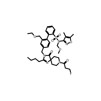 CCCCC1=NC2(CCN(C(=O)CCF)CC2)C(=O)N1Cc1ccc(-c2ccccc2S(=O)(=O)N(COC)c2noc(C)c2C)c(COCC)c1